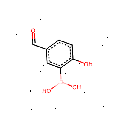 O=Cc1ccc(O)c(B(O)O)c1